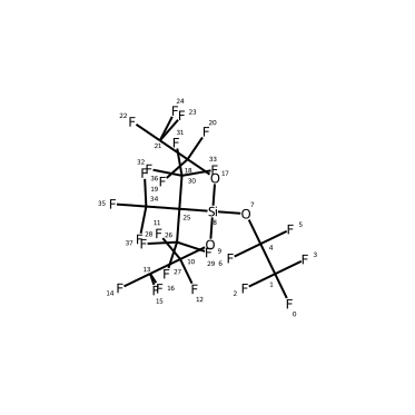 FC(F)(F)C(F)(F)O[Si](OC(F)(F)C(F)(F)F)(OC(F)(F)C(F)(F)F)C(C(F)(F)F)(C(F)(F)F)C(F)(F)F